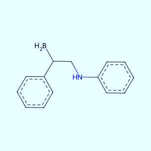 BC(CNc1ccccc1)c1ccccc1